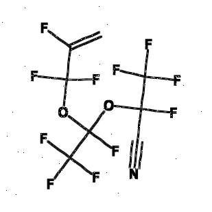 C=C(F)C(F)(F)OC(F)(OC(F)(C#N)C(F)(F)F)C(F)(F)F